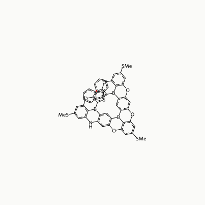 CSc1cc2c3c(c1)Oc1c(sc4ccccc14)B3c1cc3c(cc1N2)Oc1cc(SC)cc2c1B3c1cc3c(cc1O2)Oc1cc(SC)cc2c1B3c1sc3ccccc3c1O2